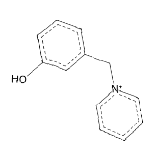 Oc1cccc(C[n+]2ccccc2)c1